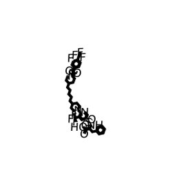 O=C(O)C(Cc1ccccc1)NS(=O)(=O)c1cnc(N2CCC(CCCCCC3CCN(S(=O)(=O)c4ccc(C(F)(F)F)c(F)c4)CC3)CC2)c(C(F)(F)F)c1